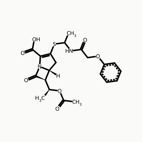 CC(=O)O[C@@H](C)[C@H]1C(=O)N2C(C(=O)O)=C(SC(C)NC(=O)COc3ccccc3)C[C@H]12